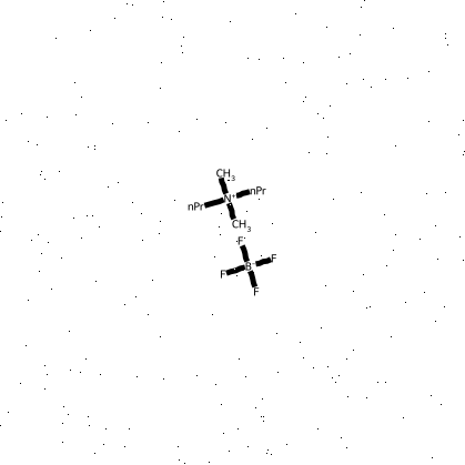 CCC[N+](C)(C)CCC.F[B-](F)(F)F